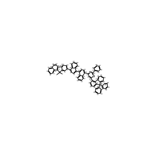 CC1(C)c2cc(-c3ccc(-c4ccc(-c5cc(-c6cccc7c6-c6ccccc6C7(c6ccccc6)c6ccccc6)nc(-c6ccccc6)n5)c5ccccc45)c4ccccc34)ccc2-c2ccc3ccccc3c21